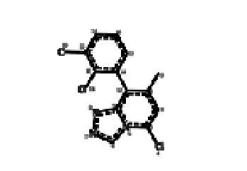 Cc1cc(Cl)n2cnnc2c1-c1cccc(Cl)c1Cl